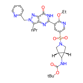 CCCc1c2nc(-c3cc(S(=O)(=O)N4C[C@@H]5C(NC(=O)OC(C)(C)C)[C@@H]5C4)cnc3OCC)[nH]c(=O)c2nn1Cc1ccccn1